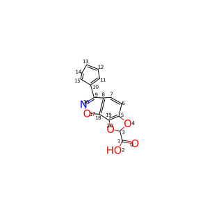 O=C(O)C1Oc2ccc3c(-c4ccccc4)noc3c2O1